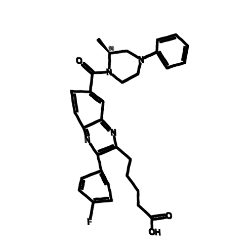 C[C@H]1CN(c2ccccc2)CCN1C(=O)c1ccc2nc(-c3ccc(F)cc3)c(CCCCC(=O)O)nc2c1